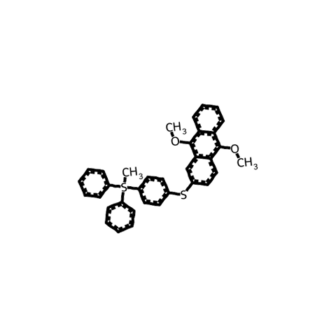 COc1c2ccccc2c(OC)c2cc(Sc3ccc(S(C)(c4ccccc4)c4ccccc4)cc3)ccc12